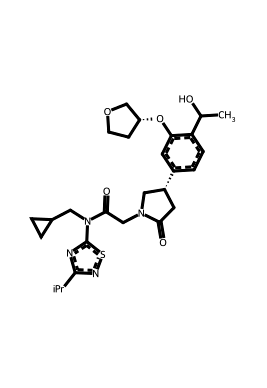 CC(C)c1nsc(N(CC2CC2)C(=O)CN2C[C@H](c3ccc(C(C)O)c(O[C@@H]4CCOC4)c3)CC2=O)n1